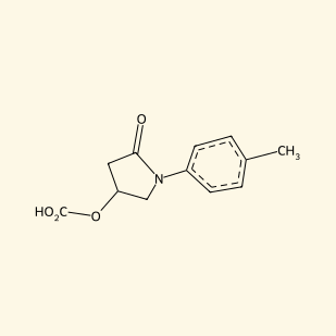 Cc1ccc(N2CC(OC(=O)O)CC2=O)cc1